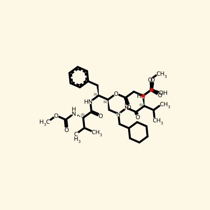 COC(=O)N[C@H](C(=O)N[C@@H](Cc1ccccc1)[C@H](CN(CC1CCCCC1)NC(=O)[C@@H](NC(=O)OC)C(C)C)OC(=O)CCC(=O)O)C(C)C